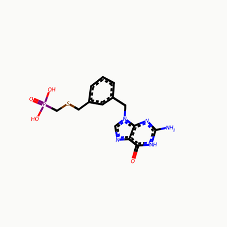 Nc1nc2c(ncn2Cc2cccc(CSCP(=O)(O)O)c2)c(=O)[nH]1